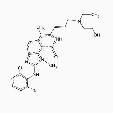 CCN(CC=Cc1[nH]c(=O)c2c(ccc3nc(Nc4c(Cl)cccc4Cl)n(C)c32)c1C)CCO